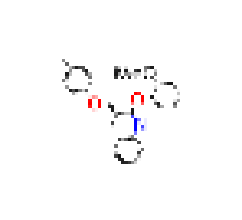 COc1ccccc1OC(=Nc1ccccc1)C(C)=COc1ccc(C)cc1